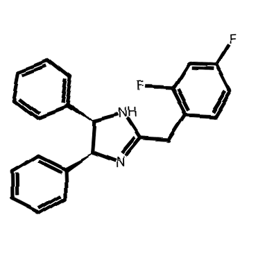 Fc1ccc(CC2=N[C@@H](c3ccccc3)[C@@H](c3ccccc3)N2)c(F)c1